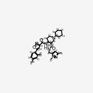 Cc1cc(CNC(=O)[C@@H]2CN(C3CCCCC3)CC[C@H]2NC(=O)c2cc(-c3ccc(F)cc3F)on2)n(C)n1